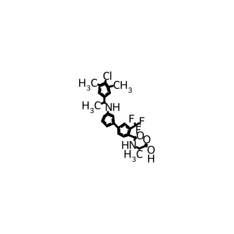 Cc1cc(C(C)Nc2cccc(-c3ccc(C(=O)N[C@@H](C)C(=O)O)c(C(F)(F)F)c3)c2)cc(C)c1Cl